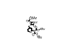 COC(=O)[C@H]1NC(=O)[C@@H]1Cc1ccnc(N(C(=O)OC(C)(C)C)C(=O)OC(C)(C)C)c1